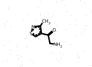 Cc1nscc1C(=O)CN